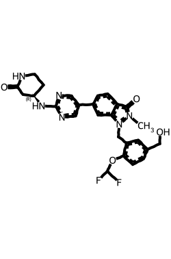 Cn1c(=O)c2ccc(-c3cnc(N[C@@H]4CCNC(=O)C4)nc3)cc2n1Cc1cc(CO)ccc1OC(F)F